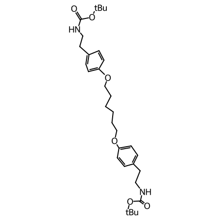 CC(C)(C)OC(=O)NCCc1ccc(OCCCCCCOc2ccc(CCNC(=O)OC(C)(C)C)cc2)cc1